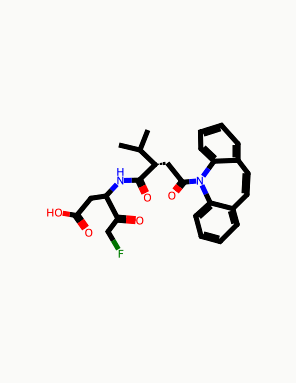 CC(C)[C@H](CC(=O)N1c2ccccc2C=Cc2ccccc21)C(=O)NC(CC(=O)O)C(=O)CF